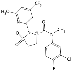 Cc1cc(C(F)(F)F)cc(N2[C@H](C(=O)N(C)c3ccc(F)c(Cl)c3)CCS2(=O)=O)n1